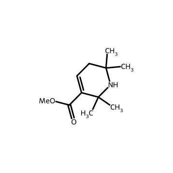 COC(=O)C1=CCC(C)(C)NC1(C)C